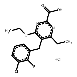 CCOc1nc(C(=O)O)nc(CC)c1Cc1cccc(Cl)c1F.Cl